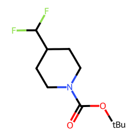 CC(C)(C)OC(=O)N1CCC(C(F)F)CC1